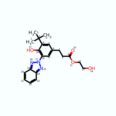 CC(C)(C)c1cc(CCC(=O)OCCO)cc(-n2nc3ccccc3n2)c1O